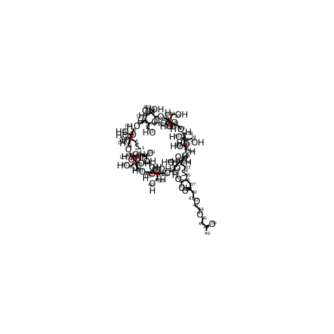 CN[C@H](CSCC1O[C@H]2O[C@@H]3C(CO)OC(O[C@@H]4C(CO)OC(O[C@@H]5C(CO)O[C@H](O[C@@H]6C(CSC[C@@H](CC(=O)CCOCCOCCC(C)=O)C(=O)O)O[C@H](O[C@@H]7C(CO)O[C@@H](O[C@@H]8C(CO)O[C@@H](O[C@H]1[C@H](O)C2O)C(O)[C@H]8O)C(O)[C@H]7O)C(O)[C@H]6O)C(O)[C@H]5O)[C@@H](O)[C@H]4O)[C@@H](O)[C@H]3O)C(=O)O